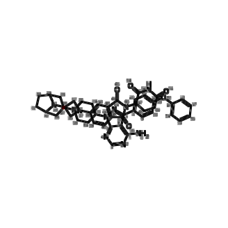 Nc1ncnc2c1c(-c1ccc(Oc3ccccc3)cc1)nn2C1CCN(C2CC3CCC(C2)N3C2CN(c3ccc4c(c3)C(=O)N(C3CCC(=O)NC3=O)C4=O)C2)CC1